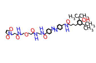 CC(C)c1cc(CCCC(=O)NCc2ccc(/N=N/c3ccc(C(=O)NCCNC(=O)CCOCCNC(=O)CCN4C(=O)C=CC4=O)cc3)cc2)cc(C(C)C)c1O